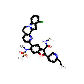 CCc1ccc(-c2oc3cc(N(C)S(C)(=O)=O)c(-c4ccc5c(n4)-c4cc6c(F)cccc6n4CC5)cc3c2C(=O)NC)cn1